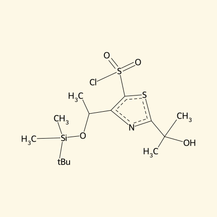 CC(O[Si](C)(C)C(C)(C)C)c1nc(C(C)(C)O)sc1S(=O)(=O)Cl